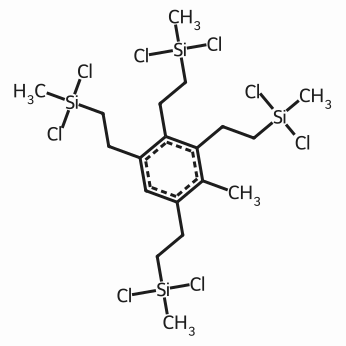 Cc1c(CC[Si](C)(Cl)Cl)cc(CC[Si](C)(Cl)Cl)c(CC[Si](C)(Cl)Cl)c1CC[Si](C)(Cl)Cl